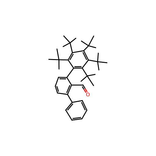 CC(C)(C)c1c(-c2cccc(-c3ccccc3)c2C=O)c(C(C)(C)C)c(C(C)(C)C)c(C(C)(C)C)c1C(C)(C)C